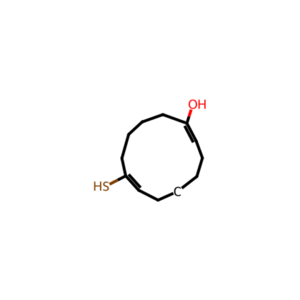 O/C1=C/CCCC/C=C(/S)CCCC1